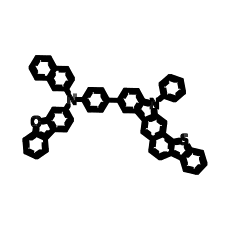 c1ccc(-n2c3ccc(-c4ccc(N(c5ccc6ccccc6c5)c5ccc6c(c5)oc5ccccc56)cc4)cc3c3cc4ccc5c6ccccc6sc5c4cc32)cc1